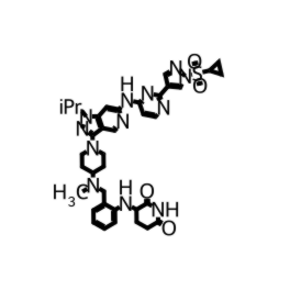 CC(C)n1nc(N2CCC(N(C)Cc3ccccc3NC3CCC(=O)NC3=O)CC2)c2cnc(Nc3ccnc(-c4cnn(S(=O)(=O)C5CC5)c4)n3)cc21